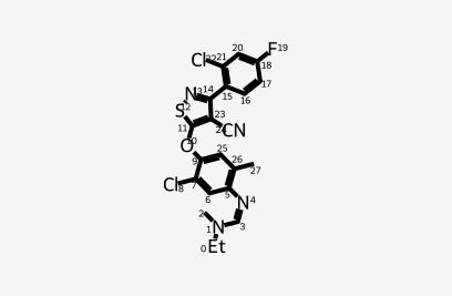 CCN(C)/C=N\c1cc(Cl)c(Oc2snc(-c3ccc(F)cc3Cl)c2C#N)cc1C